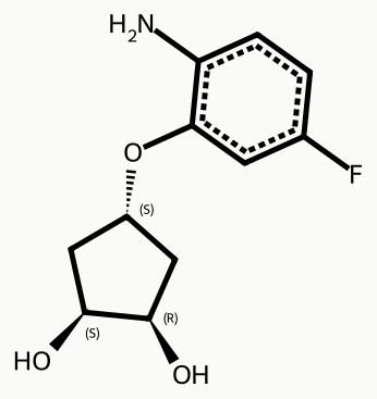 Nc1ccc(F)cc1O[C@@H]1C[C@@H](O)[C@@H](O)C1